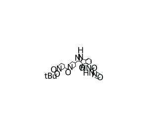 CC(C)(C)OC(=O)N1CCCC(C(=O)N2CCC(c3n[nH]c4c3C(=O)c3c(NC(=O)NN5CCOCC5)cccc3-4)CC2)C1